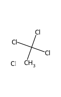 CC(Cl)(Cl)Cl.[C]